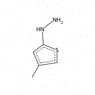 Cc1csc(NN)c1